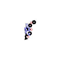 N#C/C(=C/C1CC1)C(=O)N1CCCC(n2c(=O)n(-c3ccc(Oc4ccccc4)cc3)c3c(N)ncnc32)C1